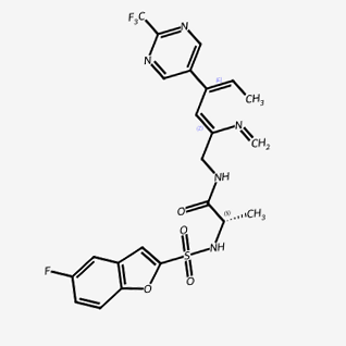 C=N/C(=C\C(=C/C)c1cnc(C(F)(F)F)nc1)CNC(=O)[C@H](C)NS(=O)(=O)c1cc2cc(F)ccc2o1